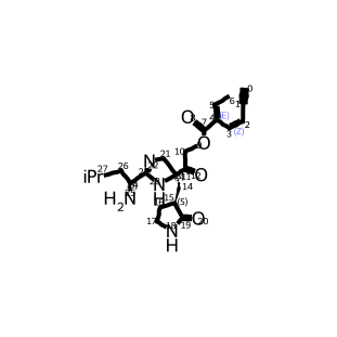 C#C/C=C\C(=C/C)C(=O)OCC(=O)[C@]1(C[C@@H]2CCNC2=O)CN=C([C@@H](N)CC(C)C)N1